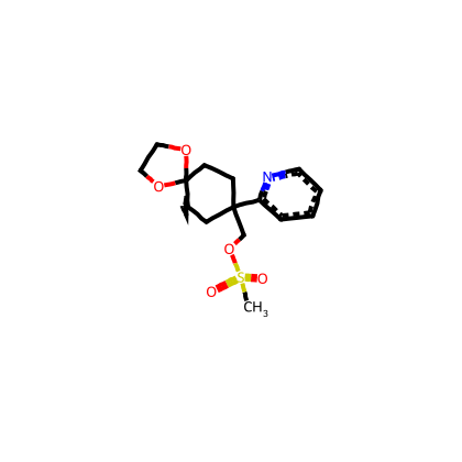 CS(=O)(=O)OCC1(c2ccccn2)CCC2(OCCO2)C2(CCCC2)C1